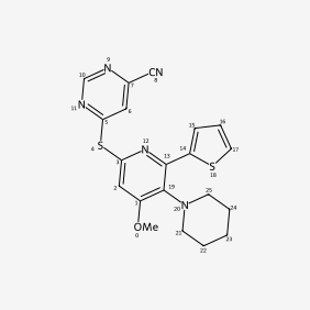 COc1cc(Sc2cc(C#N)ncn2)nc(-c2cccs2)c1N1CCCCC1